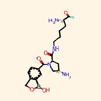 N[C@H]1CC(C(=O)NCCCC[C@H](N)C(=O)F)N(C(=O)c2ccc3c(c2)B(O)OC3)C1